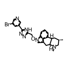 C[C@@H]1C[C@@H]2c3cccc4c3c(cn4OCc3nnc(-c4cncc(Br)c4)[nH]3)C[C@H]2N(C)C1